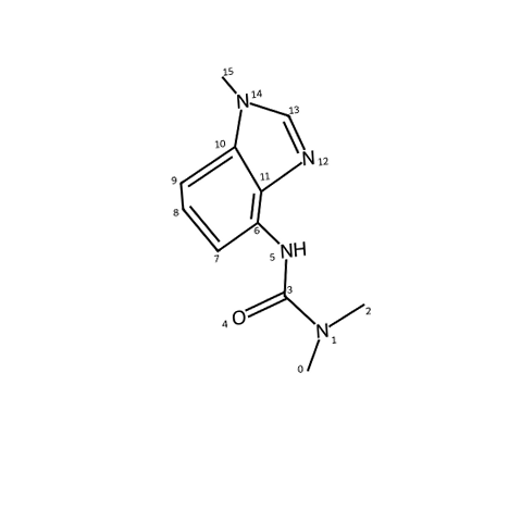 CN(C)C(=O)Nc1cccc2c1ncn2C